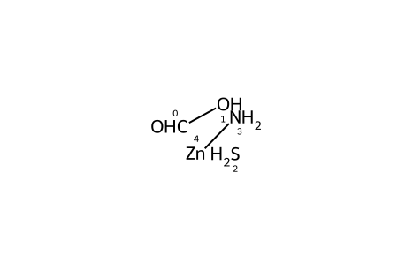 O=CO.S.[NH2][Zn]